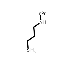 CCCNCCC[SiH3]